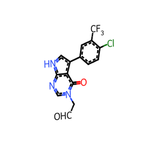 O=CCn1cnc2[nH]cc(-c3ccc(Cl)c(C(F)(F)F)c3)c2c1=O